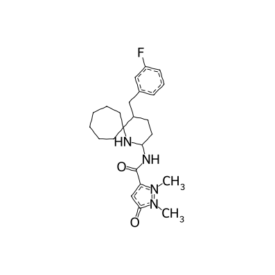 Cn1c(C(=O)NC2CCC(Cc3cccc(F)c3)C3(CCCCCC3)N2)cc(=O)n1C